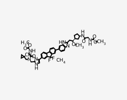 C.COC(=O)NCC(=O)N[C@@H]1CC[C@H](C(Cc2nc3ccc(-c4ccc5c(c4)C(F)(F)c4cc(-c6c[nH]c(CN(CC7(C)CC7)C(=O)CNC(=O)OC)n6)ccc4-5)cc3[nH]2)OC)C1